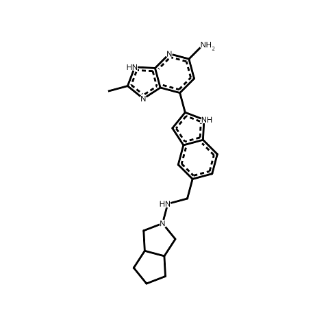 Cc1nc2c(-c3cc4cc(CNN5CC6CCCC6C5)ccc4[nH]3)cc(N)nc2[nH]1